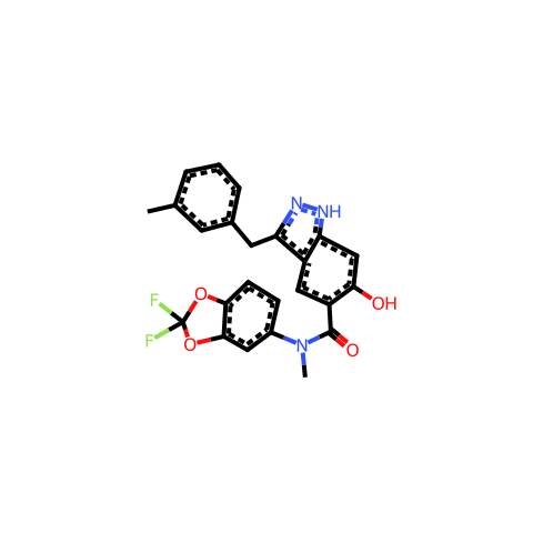 Cc1cccc(Cc2n[nH]c3cc(O)c(C(=O)N(C)c4ccc5c(c4)OC(F)(F)O5)cc23)c1